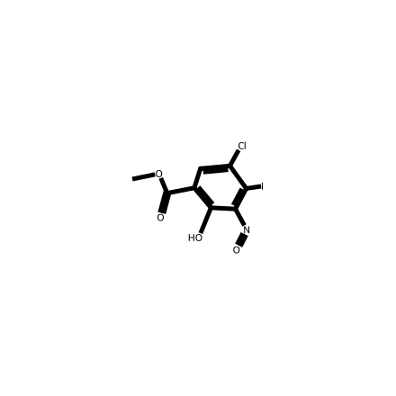 COC(=O)c1cc(Cl)c(I)c(N=O)c1O